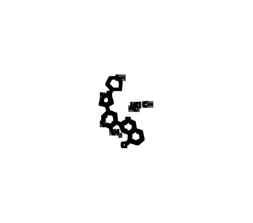 Cl.Cl.Cl.Nc1ncc(-c2cnn(C3CCNCC3)c2)cc1-c1cc2c(Cl)cccc2cn1